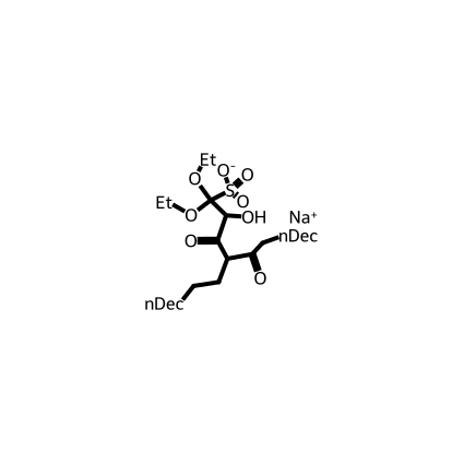 CCCCCCCCCCCCC(C(=O)CCCCCCCCCCC)C(=O)C(O)C(OCC)(OCC)S(=O)(=O)[O-].[Na+]